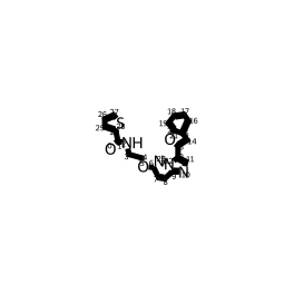 O=C(NCCOc1ccc2ncc(-c3cc4ccccc4o3)n2n1)c1cccs1